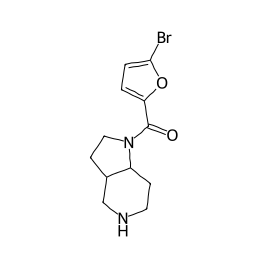 O=C(c1ccc(Br)o1)N1CCC2CNCCC21